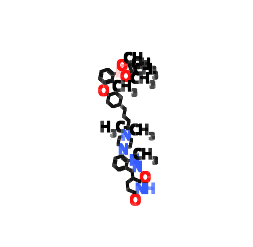 Cc1c(O[C@H]2CC[C@H](CCCC(C)(C)N3CCN(c4cccc5c(C6CCC(=O)NC6=O)nn(C)c45)CC3)CC2)cccc1B1OC(C)(C)C(C)(C)O1